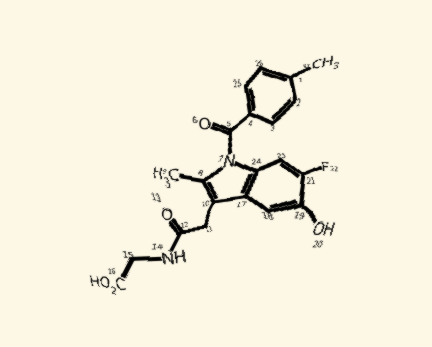 Cc1ccc(C(=O)n2c(C)c(CC(=O)NCC(=O)O)c3cc(O)c(F)cc32)cc1